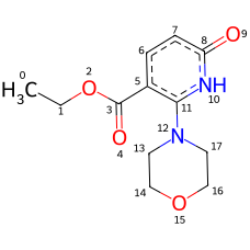 CCOC(=O)c1ccc(=O)[nH]c1N1CCOCC1